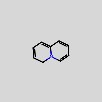 [C]1=CC=CN2CC=CC=C12